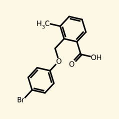 Cc1cccc(C(=O)O)c1COc1ccc(Br)cc1